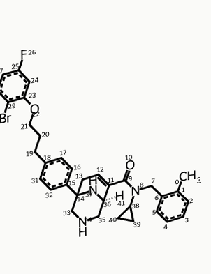 Cc1ccccc1CN(C(=O)C1=CCC2(c3ccc(CCCOc4cc(F)ccc4Br)cc3)CNC[C@H]1N2)C1CC1